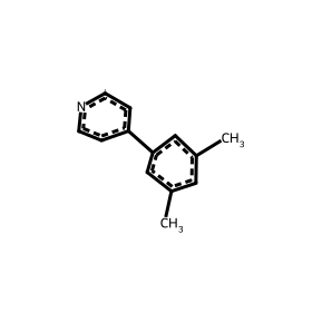 Cc1cc(C)cc(-c2c[c]ncc2)c1